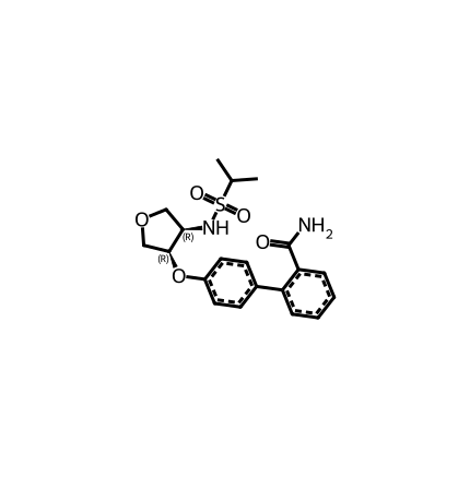 CC(C)S(=O)(=O)N[C@@H]1COC[C@@H]1Oc1ccc(-c2ccccc2C(N)=O)cc1